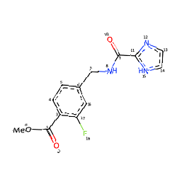 COC(=O)c1ccc(CNC(=O)c2ncc[nH]2)cc1F